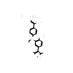 CCN(c1ccc(/C(N)=C/N(C)N)cc1)c1cc(-c2c(C)noc2C)ccc1C